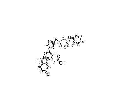 O=C(O)CC(NC(=O)c1cnn(Cc2ccc(Cn3ccccc3=O)cc2)c1)c1n[nH]c2ccc(Cl)cc12